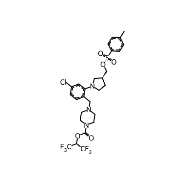 Cc1ccc(S(=O)(=O)OC[C@H]2CCN(c3cc(Cl)ccc3CN3CCN(C(=O)OC(C(F)(F)F)C(F)(F)F)CC3)C2)cc1